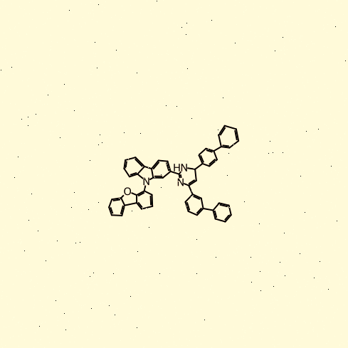 C1=C(c2cccc(-c3ccccc3)c2)N=C(c2ccc3c4ccccc4n(-c4cccc5c4oc4ccccc45)c3c2)NC1c1ccc(-c2ccccc2)cc1